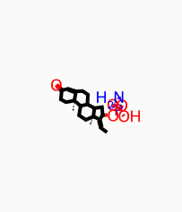 CC=C1C(OP(=O)(O)ON)CC2C3CCC4=CC(=O)CC[C@]4(C)C3CC[C@]12C